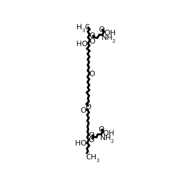 CCCCCC(O)C(CCCCCCCCCCC(=O)OCCCCCCCCCCCC(=O)CCCCCCCCCCC(O)C(CCCCC)OC(=O)CC[C@@H](N)C(=O)O)OC(=O)CC[C@H](N)C(=O)O